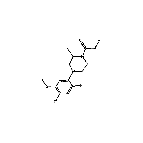 COc1cc(N2CCN(C(=O)CCl)C(C)C2)c(F)cc1Cl